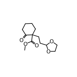 COC(=O)C1(CCC2OCCO2)CCCCC1=O